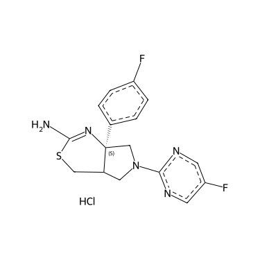 Cl.NC1=N[C@@]2(c3ccc(F)cc3)CN(c3ncc(F)cn3)CC2CS1